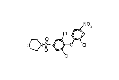 O=[N+]([O-])c1ccc(Oc2c(Cl)cc(S(=O)(=O)N3CCOCC3)cc2Cl)c(Cl)c1